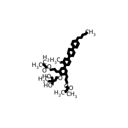 C=C(C)C(=O)OCCCc1cc(-c2ccc(-c3ccc(-c4ccc(CCCCC)cc4)cc3)cc2CC)cc(CCCOC(=O)C(=C)C)c1OCCC(CC)(CO)CO